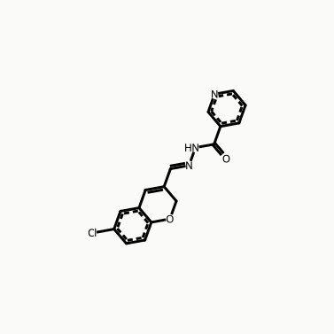 O=C(N/N=C/C1=Cc2cc(Cl)ccc2OC1)c1cccnc1